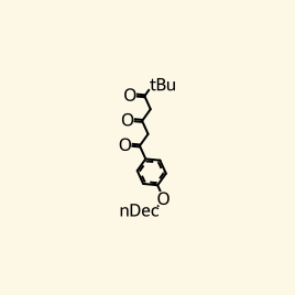 CCCCCCCCCCOc1ccc(C(=O)CC(=O)CC(=O)C(C)(C)C)cc1